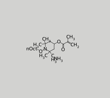 C=C(C)C(=O)OC1CC(C)(C)N(OCCCCCCCC)C(C)(C)C1.N